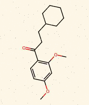 COc1ccc(C(=O)CCC2CCCCC2)c(OC)c1